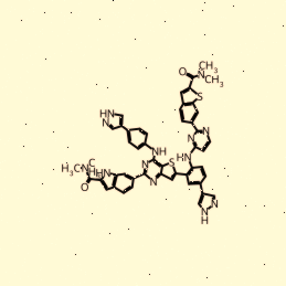 CN(C)C(=O)c1cc2ccc(-c3nc(Nc4ccc(-c5cn[nH]c5)cc4)c4sc(-c5cc(-c6cn[nH]c6)ccc5Nc5ccnc(-c6ccc7cc(C(=O)N(C)C)sc7c6)n5)cc4n3)cc2[nH]1